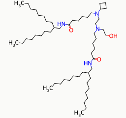 CCCCCCCCC(CCCCCCCC)CNC(=O)CCCCCN(CCO)CCN(CCCCCC(=O)NCC(CCCCCCCC)CCCCCCCC)C1CCC1